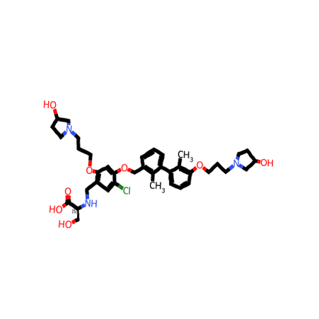 Cc1c(COc2cc(OCCCN3CCC(O)C3)c(CN[C@@H](CO)C(=O)O)cc2Cl)cccc1-c1cccc(OCCCN2CCC(O)C2)c1C